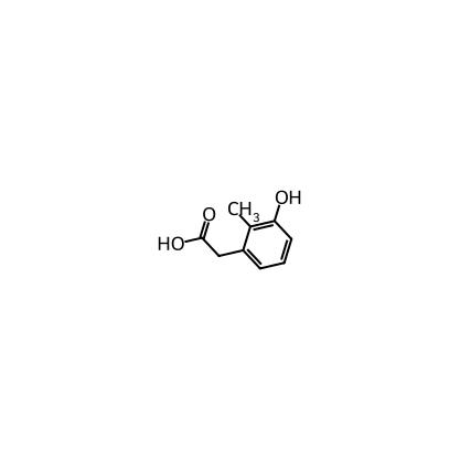 Cc1c(O)cccc1CC(=O)O